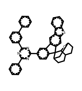 c1ccc(-c2cccc(-c3nc(-c4ccccc4)nc(-c4ccc5c(c4)-c4cc6c(cc4C54C5CCC7CCC(C5)CC74)sc4ccccc46)n3)c2)cc1